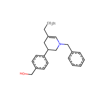 CCOC(=O)CC1=CN(Cc2ccccc2)CC(c2ccc(CO)cc2)C1